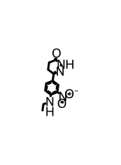 CCNc1ccc(C2=NNC(=O)CC2)cc1[N+](=O)[O-]